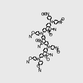 N#COc1ccc(N(c2cccc(OC#N)c2)c2ccc(-c3ccc(N(c4ccc(N=C=O)cc4)c4ccc(-c5ccc(N(c6ccc(OC#N)cc6)c6ccc(-c7ccc(N(c8ccc(N=C=O)cc8)c8ccc(N=C=O)cc8)cc7OC#N)c(N=C=O)c6)cc5N=C=O)c(OC#N)c4)cc3OC#N)c(N=C=O)c2)cc1